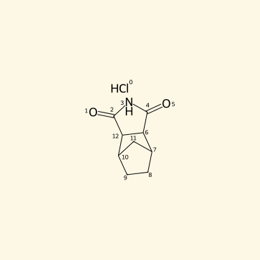 Cl.O=C1NC(=O)C2C3CCC(C3)C12